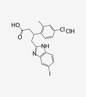 Cc1cc(Cl)ccc1C(CC(=O)O)Cc1nc2cc(I)ccc2[nH]1.Cl